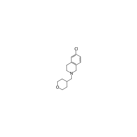 Clc1ccc2c(c1)CCN(CC1CCOCC1)C2